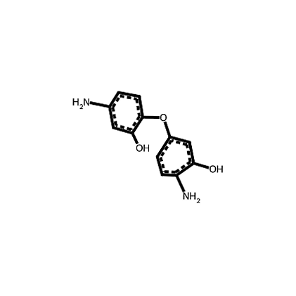 Nc1ccc(Oc2ccc(N)c(O)c2)c(O)c1